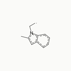 [CH2]Cn1c(C)cc2ccccc21